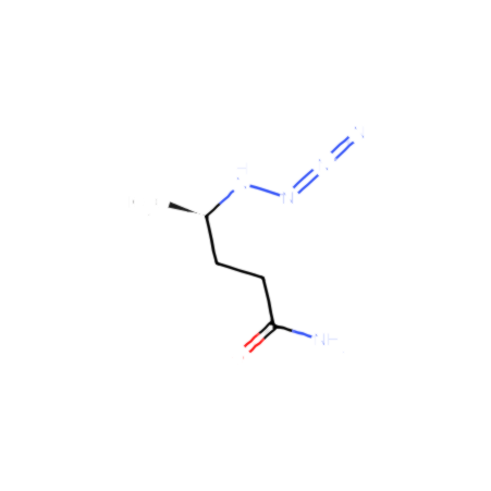 [N-]=[N+]=NN[C@@H](CCC(N)=O)C(=O)O